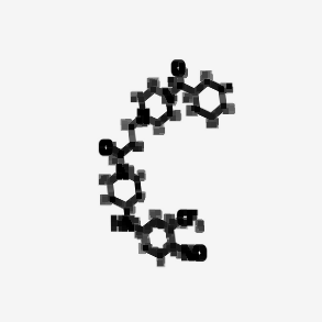 O=Nc1ccc(NC2CCN(C(=O)CCN3CCN(C(=O)C4CCCCC4)CC3)CC2)cc1C(F)(F)F